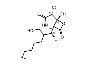 CC[C@H]1C(=O)N[C@@]2([C@@H](O)C(CO)CCCCO)C(=O)O[C@@]12C